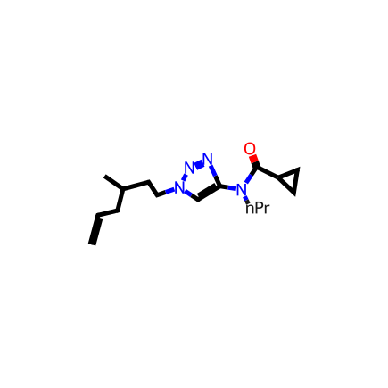 C=CCC(C)CCn1cc(N(CCC)C(=O)C2CC2)nn1